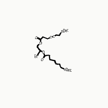 CCCCCCCCCCCCCCCCC(=O)OCC(CC)OC(=O)CCCCCCCCCCCCCCCC